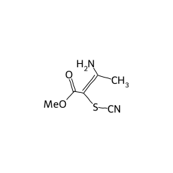 COC(=O)C(SC#N)=C(C)N